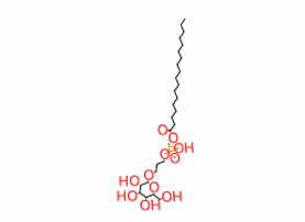 CCCCCCCCCCCCCCCCCC(=O)OCP(=O)(O)OCCCOC1OC(CO)C(O)C(O)C1O